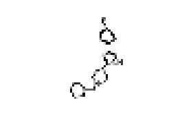 Fc1ccc(-c2c[nH]c(C3CCN(CC4CCCCC4)CC3)n2)cc1